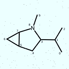 CC(C)C1CC2CC2N1C